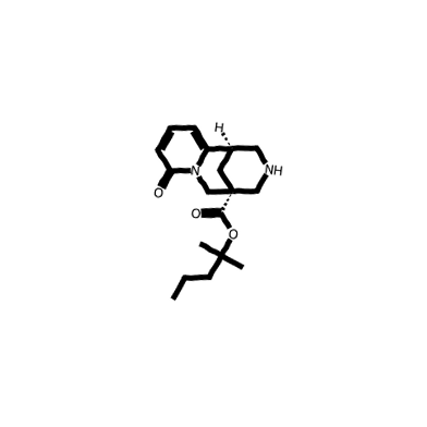 CCCC(C)(C)OC(=O)[C@@]12CNC[C@@H](C1)c1cccc(=O)n1C2